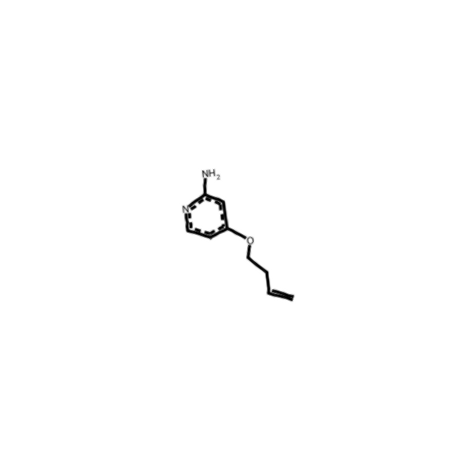 C=CCCOc1[c]cnc(N)c1